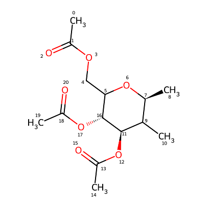 CC(=O)OCC1O[C@@H](C)C(C)[C@@H](OC(C)=O)[C@@H]1OC(C)=O